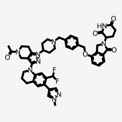 CC(=O)N1CCc2c(c(N3CCCc4cc(-c5cnn(C)c5)c(C(F)F)cc43)nn2C2CCN(Cc3ccc(COc4cccc5c4CN(C4CCC(=O)NC4=O)C5=O)cc3)CC2)C1